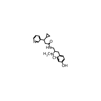 CN(C)C(CNC(=O)CC(c1cccnc1)C1CC1)Cc1ccc(O)cc1